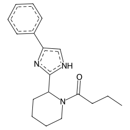 CCCC(=O)N1CCCCC1c1nc(-c2ccccc2)c[nH]1